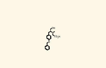 CN(CC(=O)O)[C@H](CO)Cc1ccc(OCc2ccccc2)cc1